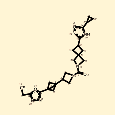 O=C(N1CC(C23CC(c4nnc(CC(F)(F)F)o4)(C2)C3)C1)N1CC2(CC(c3nnc(C4CC4)[nH]3)C2)C1